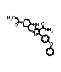 C=CC(=O)N1CCC2Nc3c(C(N)=O)c(-c4ccc(Oc5ccccc5)cc4)nn3CC2C1